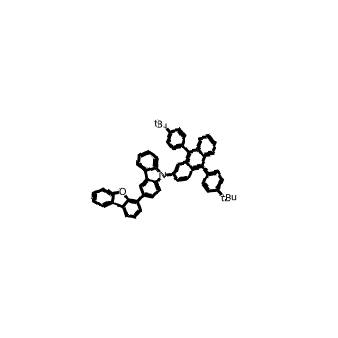 CC(C)(C)c1ccc(-c2c3ccccc3c(-c3ccc(C(C)(C)C)cc3)c3cc(-n4c5ccccc5c5cc(-c6cccc7c6oc6ccccc67)ccc54)ccc23)cc1